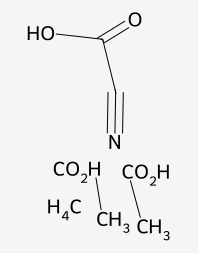 C.CC(=O)O.CC(=O)O.N#CC(=O)O